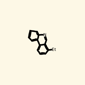 [CH2]Cc1cccc2c1cnc1ccccc12